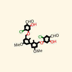 COc1cc(COc2cc(O)c(C=O)cc2Cl)c(C)c(-c2cc(OC)cc(COc3cc(O)c(C=O)cc3Cl)c2C)c1